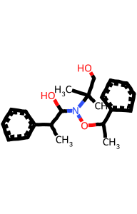 CC(ON(C(O)C(C)c1ccccc1)C(C)(C)CO)c1ccccc1